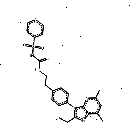 CCc1nc2c(C)cc(C)nc2n1-c1ccc(CCNC(=O)NS(=O)(=O)c2ccncc2)cc1